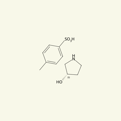 Cc1ccc(S(=O)(=O)O)cc1.O[C@H]1CCNC1